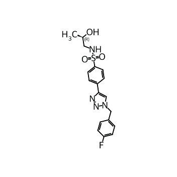 C[C@@H](O)CNS(=O)(=O)c1ccc(-c2cn(Cc3ccc(F)cc3)nn2)cc1